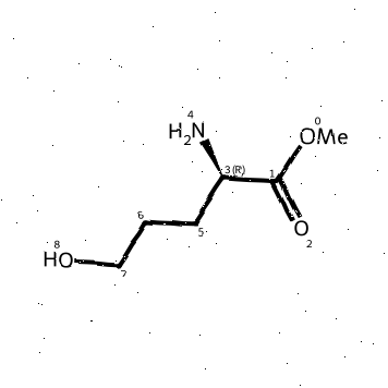 COC(=O)[C@H](N)CCCO